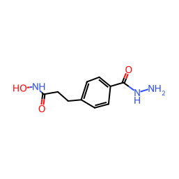 NNC(=O)c1ccc(CCC(=O)NO)cc1